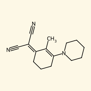 CC1=C(N2CCCCC2)CCCC1=C(C#N)C#N